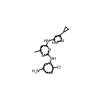 Cc1cc(Nc2cc(C3CC3)n[nH]2)nc(Nc2cc(N)ccc2Cl)n1